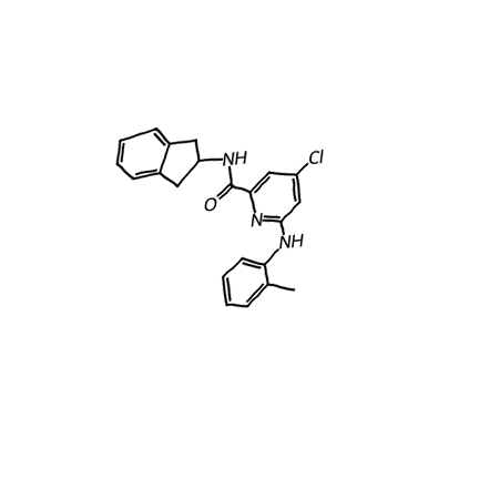 Cc1ccccc1Nc1cc(Cl)cc(C(=O)NC2Cc3ccccc3C2)n1